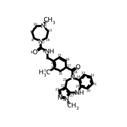 CC1=C(CNC(=O)N2CCCN(C)CC2)C=CC(C(=O)N2Cc3cnn(C)c3Nc3ccccc32)C1